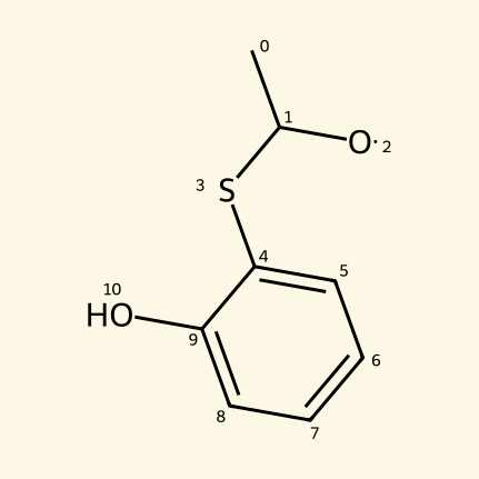 CC([O])Sc1ccccc1O